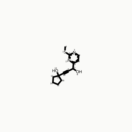 CSc1nccc(C(O)C#CC2(O)CCCC2)n1